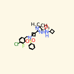 CC1(C)N=C(C23CC(N(Cc4ccc(Cl)c(F)c4)S(=O)(=O)c4ccccc4)(C2)C3)N[C@H]1C(=O)NC1CCC1